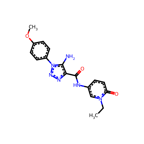 CCn1cc(NC(=O)c2nnn(-c3ccc(OC)cc3)c2N)ccc1=O